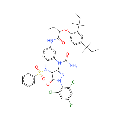 CCC(Oc1ccc(C(C)(C)CC)cc1C(C)(C)CC)C(=O)Nc1cccc(N(C(N)=O)C2=NN(c3c(Cl)cc(Cl)cc3Cl)C(=O)C2NS(=O)(=O)c2ccccc2)c1